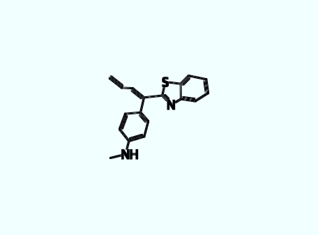 C=CC=C(c1ccc(NC)cc1)c1nc2ccccc2s1